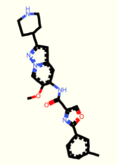 COc1cn2nc(C3CCNCC3)cc2cc1NC(=O)c1coc(-c2cccc(C)c2)n1